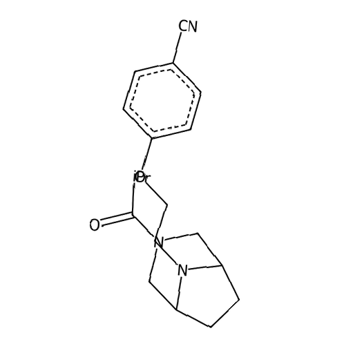 CC(C)C(=O)N1CC2CCC(C1)N2CCOc1ccc(C#N)cc1